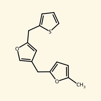 Cc1ccc(Cc2coc(Cc3cccs3)c2)o1